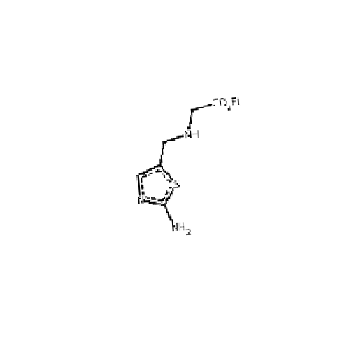 CCOC(=O)CNCc1cnc(N)s1